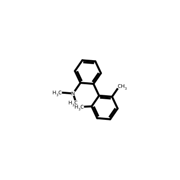 Cc1cccc(C)c1-c1ccccc1N(C)C